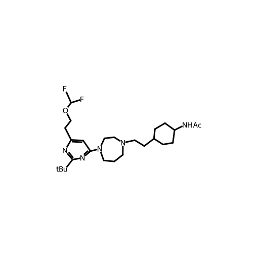 CC(=O)NC1CCC(CCN2CCCN(c3cc(CCOC(F)F)nc(C(C)(C)C)n3)CC2)CC1